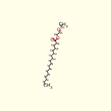 CCCCCCCCCCCCCCCCCC(=O)OCCOCC